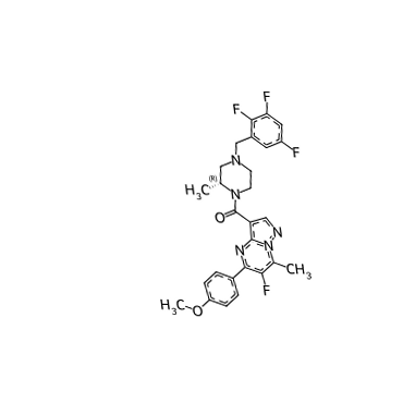 COc1ccc(-c2nc3c(C(=O)N4CCN(Cc5cc(F)cc(F)c5F)C[C@H]4C)cnn3c(C)c2F)cc1